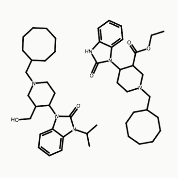 CC(C)n1c(=O)n(C2CCN(CC3CCCCCCC3)CC2CO)c2ccccc21.CCOC(=O)C1CN(CC2CCCCCCC2)CCC1n1c(=O)[nH]c2ccccc21